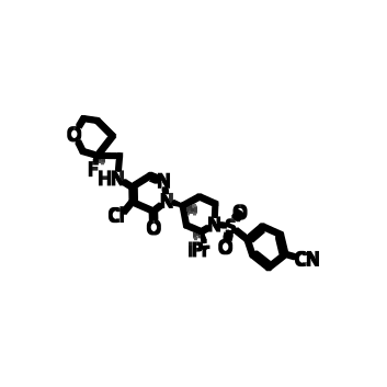 CC(C)[C@H]1C[C@@H](n2ncc(NC[C@@]3(F)CCCOC3)c(Cl)c2=O)CCN1S(=O)(=O)c1ccc(C#N)cc1